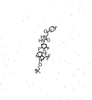 CN1CCN(C(=O)CNC(=O)Nc2cc(F)c(Oc3ccnc4c3c(C(F)(F)F)cn4COCC[Si](C)(C)C)c(F)c2)CC1